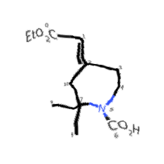 CCOC(=O)/C=C1/CCN(C(=O)O)C(C)(C)C1